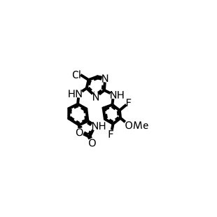 COc1c(F)ccc(Nc2ncc(Cl)c(Nc3ccc4oc(=O)[nH]c4c3)n2)c1F